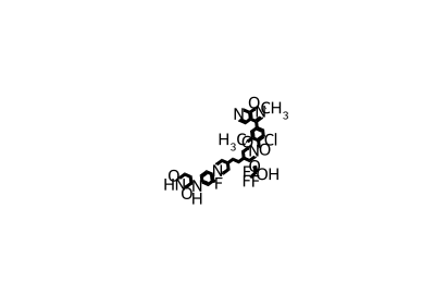 COc1cc(-c2cn(C)c(=O)c3cnccc23)cc(Cl)c1C(=O)N1CCC(CCC2CCN(c3ccc(NC4CCC(=O)NC4=O)cc3F)CC2)CC1.O=C(O)C(F)(F)F